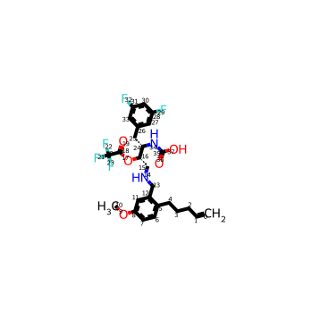 C=CCCCc1ccc(OC)cc1CNC[C@H](OC(=O)C(F)(F)F)[C@H](Cc1cc(F)cc(F)c1)NC(=O)O